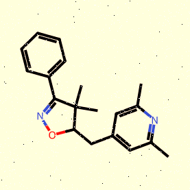 Cc1cc(CC2ON=C(c3ccccc3)C2(C)C)cc(C)n1